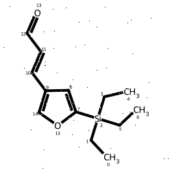 CC[Si](CC)(CC)c1cc(C=CC=O)co1